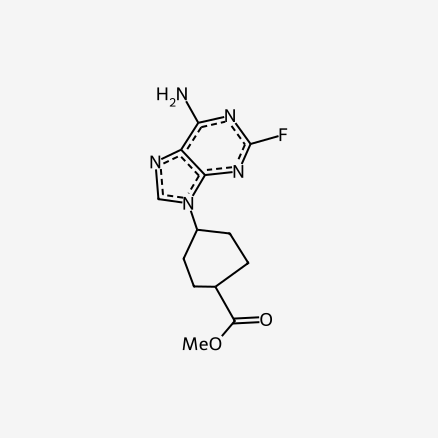 COC(=O)C1CCC(n2cnc3c(N)nc(F)nc32)CC1